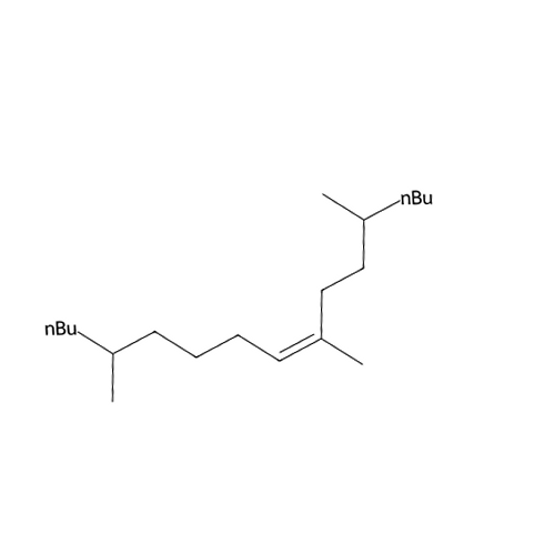 CCCCC(C)CCCC=C(C)CCC(C)CCCC